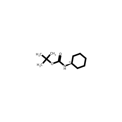 CC(C)(C)OC(=O)N[C@H]1C[CH]CCC1